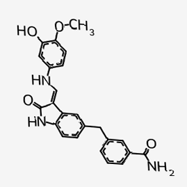 COc1ccc(NC=C2C(=O)Nc3ccc(Cc4cccc(C(N)=O)c4)cc32)cc1O